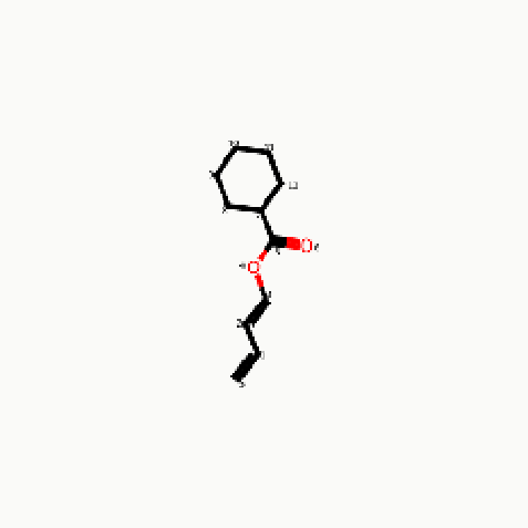 C=CC=COC(=O)C1CCCCC1